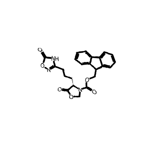 O=C1OCN(C(=O)OCC2c3ccccc3-c3ccccc32)[C@H]1CCCc1noc(=O)[nH]1